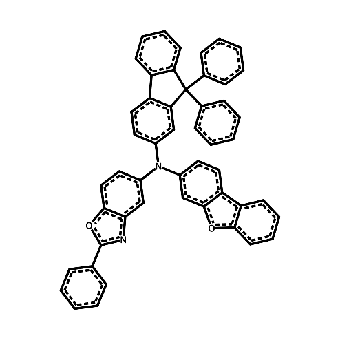 c1ccc(-c2nc3cc(N(c4ccc5c(c4)C(c4ccccc4)(c4ccccc4)c4ccccc4-5)c4ccc5c(c4)oc4ccccc45)ccc3o2)cc1